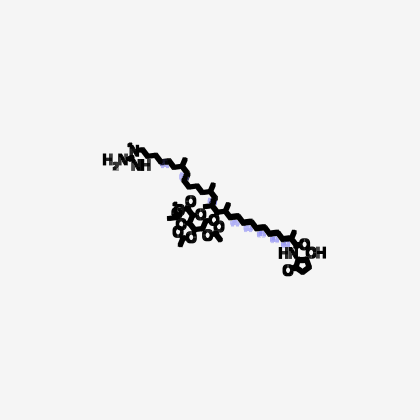 COC(=O)C1OC(OC(/C(C)=C/C(C)CCC/C=C/C(C)C/C=C/CCCN(C)C(=N)N)C(C)/C=C/C=C/C=C/C=C/C=C(\C)C(=O)NC2=C(O)CCC2=O)C(OC(C)=O)C(OC(C)=O)C1OC(C)=O